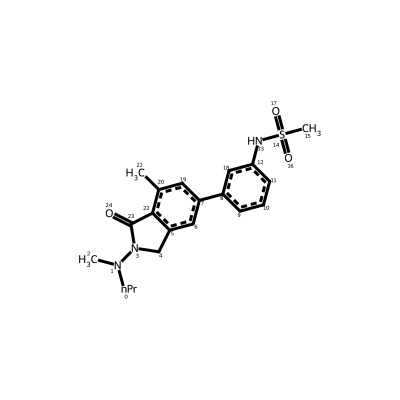 CCCN(C)N1Cc2cc(-c3cccc(NS(C)(=O)=O)c3)cc(C)c2C1=O